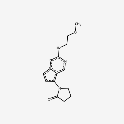 COCCNc1ncc2c(N3CCCC3=O)ccn2n1